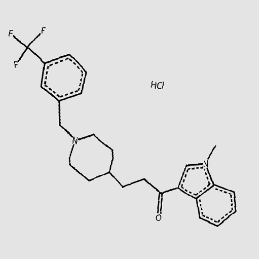 Cl.Cn1cc(C(=O)CCC2CCN(Cc3cccc(C(F)(F)F)c3)CC2)c2ccccc21